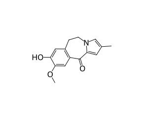 COc1cc2c(cc1O)CCn1cc(C)cc1C2=O